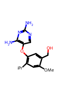 COc1cc(C(C)C)c(Oc2cnc(N)nc2N)cc1CO